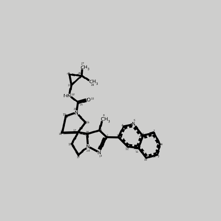 CC1C(c2cnc3ccccc3c2)=NN2CCC3(CCN(C(=O)NC4CC4(C)C)C3)C12